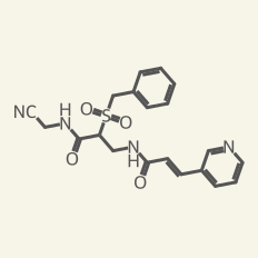 N#CCNC(=O)C(CNC(=O)C=Cc1cccnc1)S(=O)(=O)Cc1ccccc1